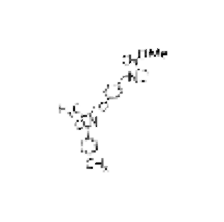 COC(=O)[C@H]1CCCN1Cc1ccc(OCc2nc(-c3ccc(C)cc3)oc2C)cc1